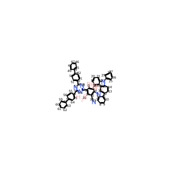 Bc1c(B)c(-n2c3ccccc3c3ccc4c(c5ccccc5n4-c4ccccc4)c32)c(C#N)c(B)c1-c1nc(-c2ccc(-c3ccccc3)cc2)nc(-c2ccc(-c3ccccc3)cc2)n1